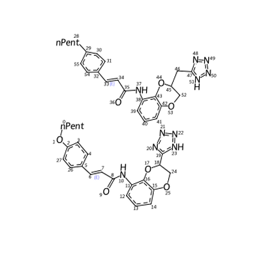 CCCCCOc1ccc(/C=C/C(=O)Nc2cccc3c2OC(c2nnn[nH]2)CO3)cc1.CCCCCc1ccc(/C=C/C(=O)Nc2cccc3c2OC(Cc2nnn[nH]2)CO3)cc1